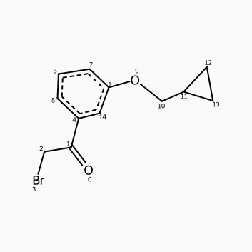 O=C(CBr)c1cccc(OCC2CC2)c1